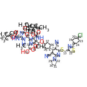 CC(Oc1ccc(-c2c(C#N)c(SCc3csc(-c4ccc(Cl)cc4)n3)nc(N3CCCC3)c2C#N)cc1)[C@@](CCCN/C(=N\C(=O)OC(C)(C)C)NC(=O)OC(C)(C)C)(NC(=O)OC(C)(C)C)C(=O)N[C@@H](C)C(=O)O